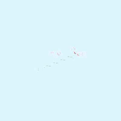 CCCCCCCCCC(=O)O.O